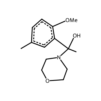 COc1ccc(C)cc1C(C)(O)N1CCOCC1